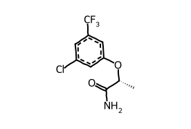 C[C@@H](Oc1cc(Cl)cc(C(F)(F)F)c1)C(N)=O